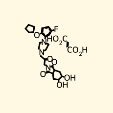 O=C(CN1CCN(c2cc(F)ccc2OC2CCCC2)CC1)CN1C(=O)C2CC(O)C(O)CC2C1=O.O=C(O)C=CC(=O)O